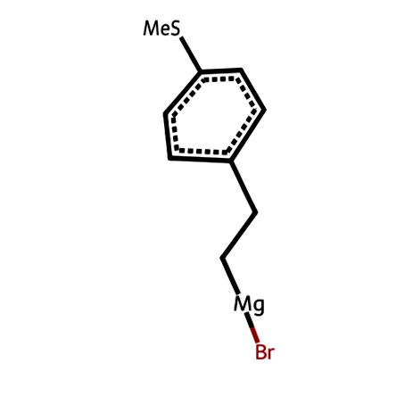 CSc1ccc(C[CH2][Mg][Br])cc1